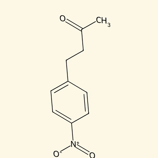 CC(=O)CCc1ccc([N+](=O)[O-])cc1